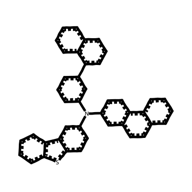 c1cc(-c2cccc3ccccc23)cc(N(c2ccc3c(ccc4ccccc43)c2)c2ccc3sc4ccccc4c3c2)c1